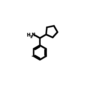 NC(c1c[c]ccc1)C1CCCC1